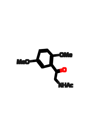 COc1ccc(OC)c(C(=O)CNC(C)=O)c1